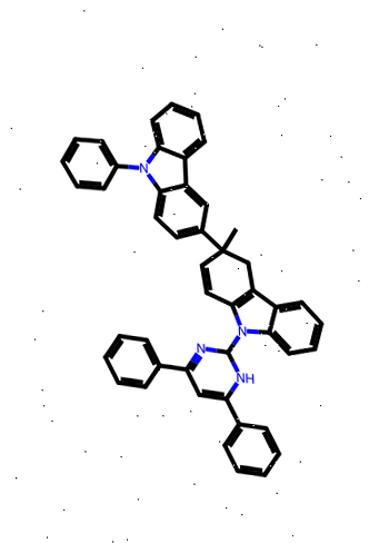 CC1(c2ccc3c(c2)c2ccccc2n3-c2ccccc2)C=Cc2c(c3ccccc3n2C2N=C(c3ccccc3)C=C(c3ccccc3)N2)C1